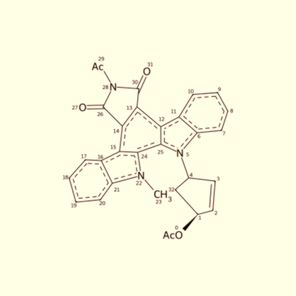 CC(=O)O[C@@H]1C=CC(n2c3ccccc3c3c4c(c5c6ccccc6n(C)c5c32)C(=O)N(C(C)=O)C4=O)C1